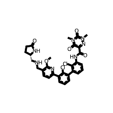 COc1nc(-c2cccc(-c3cccc(NC(=O)c4nn(C)c(=O)n(C)c4=O)c3Cl)c2Cl)ccc1CNC[C@@H]1CCC(=O)N1